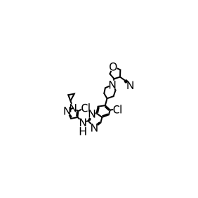 N#CC1COCC1N1CCC(c2cc3nc(Nc4cnn(C5CC5)c4Cl)ncc3cc2Cl)CC1